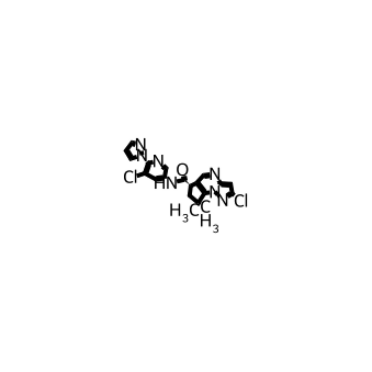 CC1(C)C[C@H](C(=O)Nc2cnc(-n3cccn3)c(Cl)c2)c2cnc3cc(Cl)nn3c21